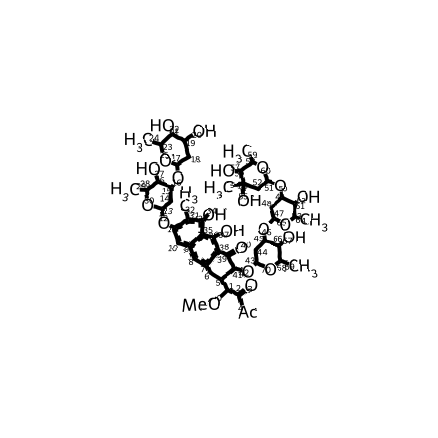 COC(C(=O)C(C)=O)C1Cc2cc3cc(OC4CC(OC5CC(O)C(O)C(C)O5)C(O)C(C)O4)c(C)c(O)c3c(O)c2C(=O)C1OC1CC(OC2CC(OC3CC(C)(O)C(O)C(C)O3)C(O)C(C)O2)C(O)C(C)O1